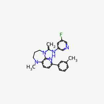 C=C(Nc1cncc(F)c1)N1CCCN(C)c2ccc(-c3cccc(C)c3)nc21